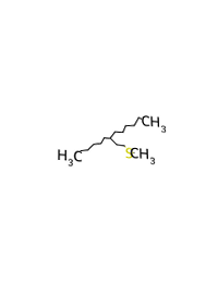 CCCCCCC(CCCCCC)CCSC